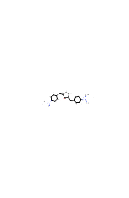 CN(C)c1ccc(/C=C2/CC/C(=C\c3ccc(N(C)C)cc3)C2=O)cc1